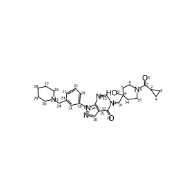 O=C(C1CC1)N1CCC(O)(Cn2cnc3c(cnn3-c3cccc(CN4CCCCC4)c3)c2=O)CC1